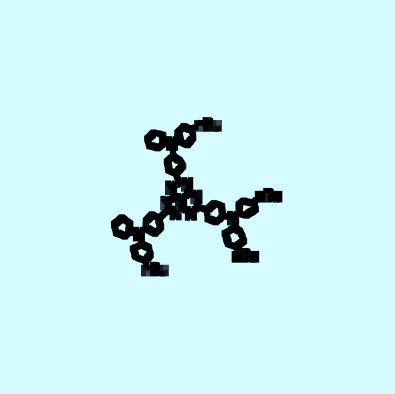 CCCCc1ccc(N(c2ccccc2)c2ccc(C3=NC4=NC(c5ccc(N(c6ccccc6)c6ccc(CCCC)cc6)cc5)=NC5=NC(c6ccc(N(c7ccc(CCCC)cc7)c7ccc(CCCC)cc7)cc6)=NC(=N3)N45)cc2)cc1